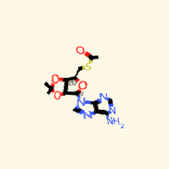 CC(=O)SC[C@H]1O[C@@H](n2cnc3c(N)ncnc32)C2OC(C)(C)OC21